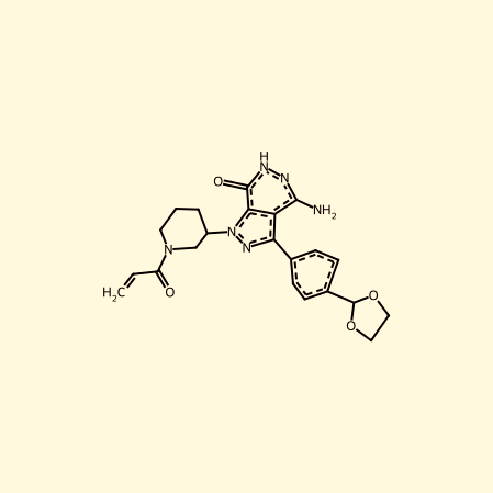 C=CC(=O)N1CCCC(n2nc(-c3ccc(C4OCCO4)cc3)c3c(N)n[nH]c(=O)c32)C1